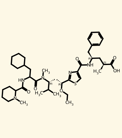 CCO[C@H](C[C@H](C(C)C)N(C)C(=O)C(CC1CCCCC1)NC(=O)C1CCCCN1C)c1nc(C(=O)N[C@@H](Cc2ccccc2)C[C@H](C)C(=O)O)cs1